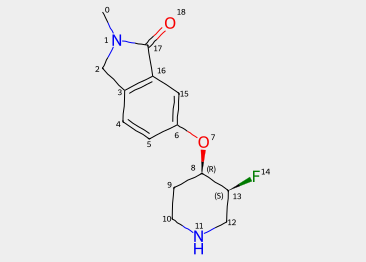 CN1Cc2ccc(O[C@@H]3CCNC[C@@H]3F)cc2C1=O